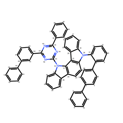 c1ccc(-c2ccc(-c3ccccc3-n3c4ccccc4c4c3ccc3c5ccccc5n(-c5nc(-c6ccccc6)nc(-c6cccc(-c7ccccc7)c6)n5)c34)cc2)cc1